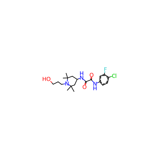 CC1(C)CC(NC(=O)C(=O)Nc2ccc(Cl)c(F)c2)CC(C)(C)N1CCCO